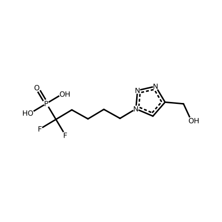 O=P(O)(O)C(F)(F)CCCCn1cc(CO)nn1